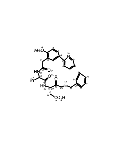 COc1ccc(-c2ccccn2)cc1CC(=O)NC(C(=O)N[C@@H](CC(=O)O)C(=O)CSCc1ccccc1)C(C)C